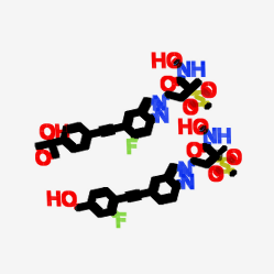 CC(CCn1cc2cc(C#Cc3ccc(C4(O)COC4)cc3)c(F)cc2n1)(C(=O)NO)S(C)(=O)=O.C[C@@](CCn1cc2cc(C#Cc3ccc(CO)cc3F)ccc2n1)(C(=O)NO)S(C)(=O)=O